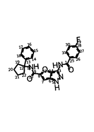 O=C(Nc1n[nH]c2cc(C(=O)NC3(c4ccccc4)CCCC3)oc12)c1ccc(F)cc1